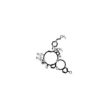 CCCN1CCN(C[C@@]2(OC)/C=C/C[C@H](C)[C@@H](C)S(=O)(=O)NC(=O)c3ccc4c(c3)N(CCCCc3cc(Cl)ccc3CO4)C[C@@H]3CC[C@H]32)CC1